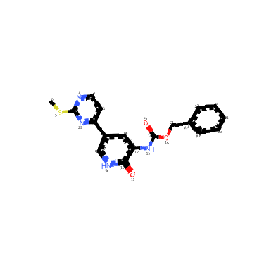 CSc1nccc(-c2c[nH]c(=O)c(NC(=O)OCc3ccccc3)c2)n1